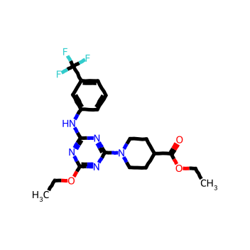 CCOC(=O)C1CCN(c2nc(Nc3cccc(C(F)(F)F)c3)nc(OCC)n2)CC1